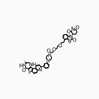 C[C@@H]1CNc2c(sc3ccc4nc(-c5cccc(N6CCN(C(=O)COCCOCCc7cccc8c7n(C)c(=O)n8C7CCC(=O)N(C)C7=O)CC6)c5)ccc4c23)C(=O)N1